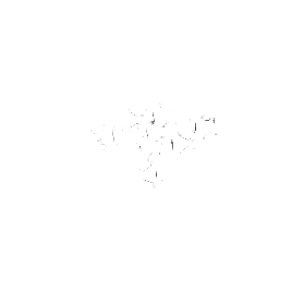 CC1CC(C2C=C(C3=C4C=CC(c5ccccc5)=CC4C(c4cccc(-c5ccncc5)c4)C4=CCCC=C43)C=CC2)=CC=N1